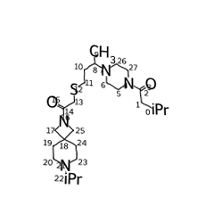 CC(C)CC(=O)N1CCN(C(C)CCSCC(=O)N2CC3(CCN(C(C)C)CC3)C2)CC1